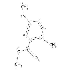 CCc1ccc(C)c(C(=O)OC)c1